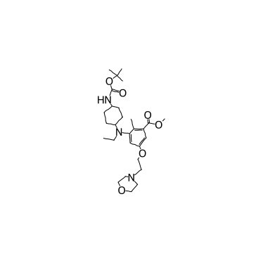 CCN(c1cc(OCCN2CCOCC2)cc(C(=O)OC)c1C)C1CCC(NC(=O)OC(C)(C)C)CC1